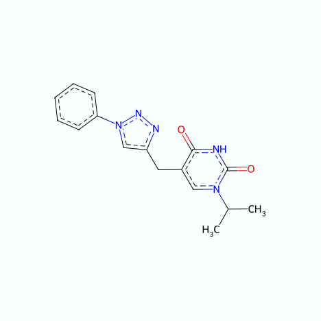 CC(C)n1cc(Cc2cn(-c3ccccc3)nn2)c(=O)[nH]c1=O